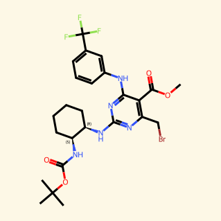 COC(=O)c1c(CBr)nc(N[C@@H]2CCCC[C@@H]2NC(=O)OC(C)(C)C)nc1Nc1cccc(C(F)(F)F)c1